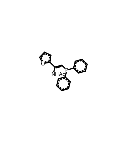 CC(=O)NC(=CP(c1ccccc1)c1ccccc1)c1ccco1